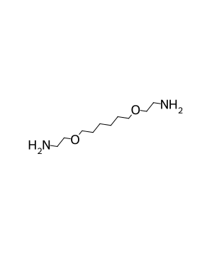 NCCOCCCCCCOCCN